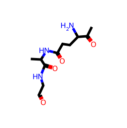 CC(=O)C(N)CCC(=O)NC(C)C(=O)NCC=O